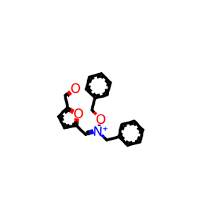 O=Cc1ccc(C=[N+](Cc2ccccc2)OCc2ccccc2)o1